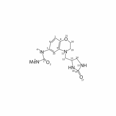 CNC(=O)N(C)c1ccc2c(c1)N(CC1CNC(=O)N1)CCO2